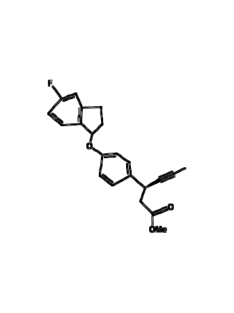 CC#C[C@@H](CC(=O)OC)c1ccc(OC2CCc3cc(F)ccc32)cc1